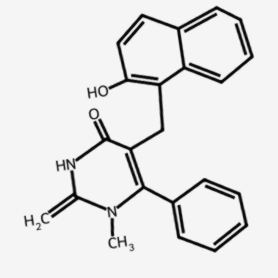 C=C1NC(=O)C(Cc2c(O)ccc3ccccc23)=C(c2ccccc2)N1C